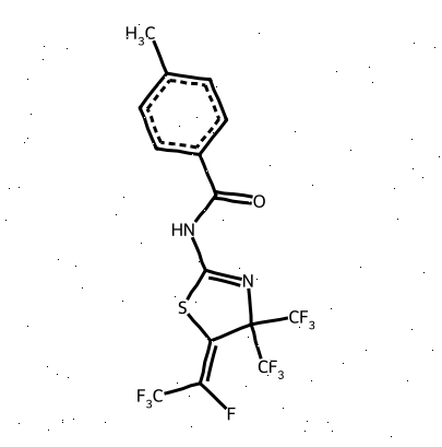 Cc1ccc(C(=O)NC2=NC(C(F)(F)F)(C(F)(F)F)/C(=C(\F)C(F)(F)F)S2)cc1